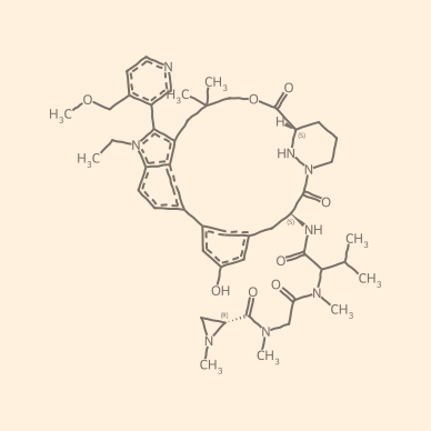 CCn1c(-c2cnccc2COC)c2c3cc(ccc31)-c1cc(O)cc(c1)C[C@H](NC(=O)C(C(C)C)N(C)C(=O)CN(C)C(=O)[C@H]1CN1C)C(=O)N1CCC[C@H](N1)C(=O)OCC(C)(C)C2